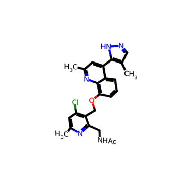 CC(=O)NCc1nc(C)cc(Cl)c1COc1cccc2c(-c3[nH]ncc3C)cc(C)nc12